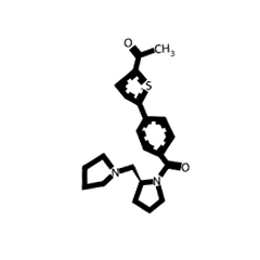 CC(=O)c1ccc(-c2ccc(C(=O)N3CCC[C@H]3CN3CCCC3)cc2)s1